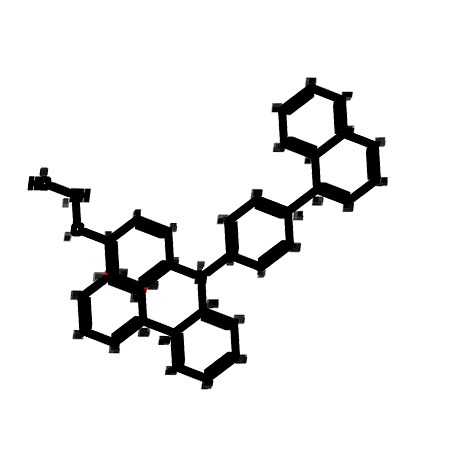 OBOc1ccc(N(c2ccc(-c3cccc4ccccc34)cc2)c2ccccc2-c2ccccc2)cc1